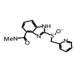 CNC(=O)c1cccc2[nH]c([S+]([O-])Cc3ccccn3)nc12